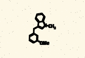 COc1cccc(Cc2cn(C)c3ccccc23)c1